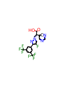 O=C(O)/C(=C/n1cc(F)c(-c2cc(C(F)(F)F)cc(C(F)(F)F)c2)n1)c1cncnc1